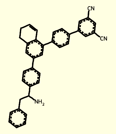 N#Cc1cc(C#N)cc(-c2ccc(-c3cc(-c4ccc(C(N)Cc5ccccc5)cc4)cc4c3C=CCC4)cc2)c1